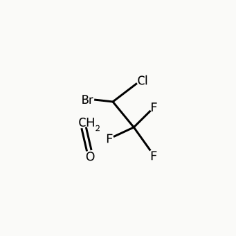 C=O.FC(F)(F)C(Cl)Br